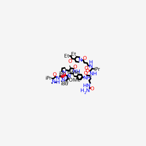 CCC(CC)C(=O)C1CCN(C(=O)CCC(=O)NC(C(=O)N[C@@H](CCCNC(N)=O)C(=O)Nc2ccc(C[C@@H](CN)NC(=O)[C@H](C)[C@@H](OC)[C@@H]3CCCN3C(=O)C[C@@H](OC)[C@H]([C@@H](C)CC)N(C)C(=O)[C@@H](NC(=O)C(C(C)C)N(C)C)C(C)C)cc2)C(C)C)CC1